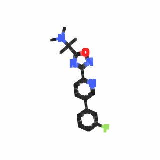 CN(C)C(C)(C)c1nc(-c2ccc(-c3cccc(F)c3)cn2)no1